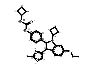 CCOc1ccc2c(c1)N(C1CCC1)C(c1ccc(NC(=O)NC3CCC3)cc1)C2c1csc(C)n1